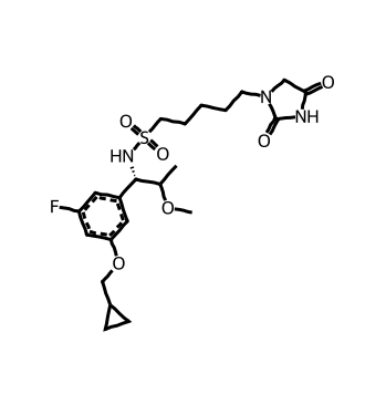 COC(C)[C@@H](NS(=O)(=O)CCCCCN1CC(=O)NC1=O)c1cc(F)cc(OCC2CC2)c1